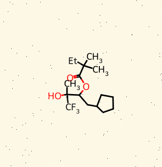 CCC(C)(C)C(=O)OC(CC1CCCC1)C(C)(O)C(F)(F)F